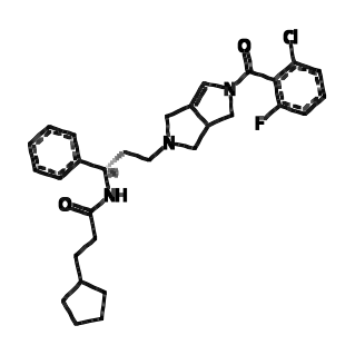 O=C(CCC1CCCC1)N[C@@H](CCN1CC2=CN(C(=O)c3c(F)cccc3Cl)CC2C1)c1ccccc1